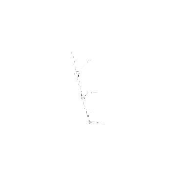 CCCCCCCCC(CCCCCCCC)OC(=O)CCCCCCCN(CCO)CCCCCCCC(=O)OC1CC1CCCCCC